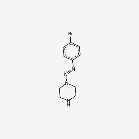 Brc1ccc(/N=N/N2CCNCC2)cc1